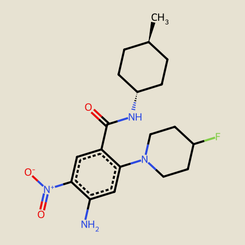 C[C@H]1CC[C@H](NC(=O)c2cc([N+](=O)[O-])c(N)cc2N2CCC(F)CC2)CC1